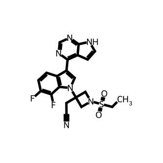 CCS(=O)(=O)N1CC(CC#N)(n2cc(-c3ncnc4[nH]ccc34)c3ccc(F)c(F)c32)C1